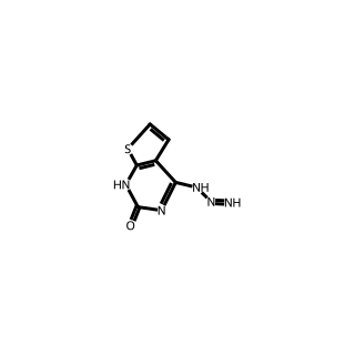 N=NNc1nc(=O)[nH]c2sccc12